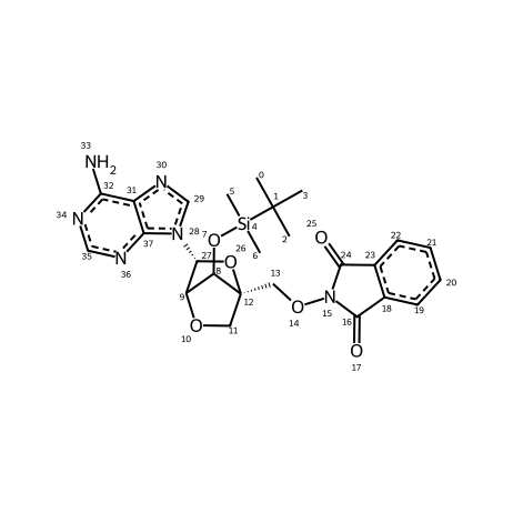 CC(C)(C)[Si](C)(C)OC1C2OC[C@]1(CON1C(=O)c3ccccc3C1=O)O[C@H]2n1cnc2c(N)ncnc21